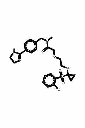 CN(Cc1ccc(C2=NCCN2)cc1)C(=O)COCCNC1(S(=O)(=O)c2ccccc2Cl)CC1